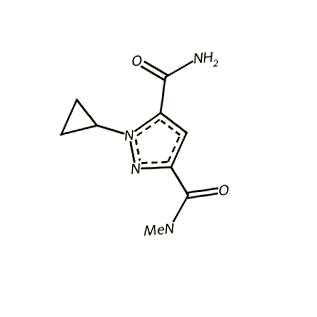 CNC(=O)c1cc(C(N)=O)n(C2CC2)n1